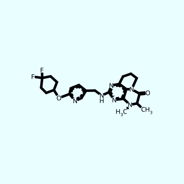 CC1C(=O)N2CCCc3nc(NCc4ccc(OC5CCC(F)(F)CC5)nc4)nc(c32)N1C